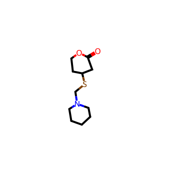 O=C1CC(SCN2CCCCC2)CCO1